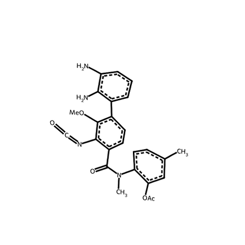 COc1c(-c2cccc(N)c2N)ccc(C(=O)N(C)c2ccc(C)cc2OC(C)=O)c1N=C=O